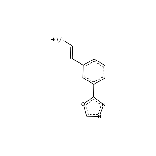 O=C(O)C=Cc1cccc(-c2nnco2)c1